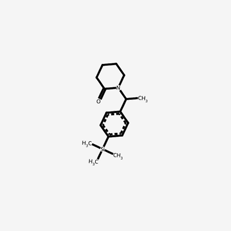 CC(c1ccc([Si](C)(C)C)cc1)N1CCCCC1=O